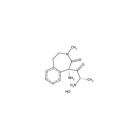 C[C@H](N)C(=O)[C@]1(N)C(=O)N(C)CCc2ccccc21.Cl